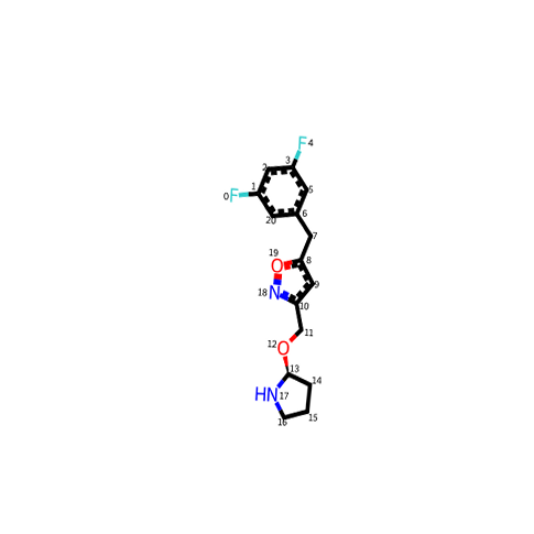 Fc1cc(F)cc(Cc2cc(CO[C@H]3CCCN3)no2)c1